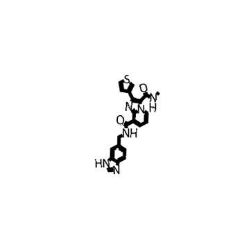 CNC(=O)c1c(-c2ccsc2)nc2c(C(=O)NCc3ccc4nc[nH]c4c3)cccn12